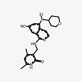 CCN(c1cc(C#N)cc2c(NCc3c(C)cc(C)[nH]c3=O)nccc12)C1CCOCC1